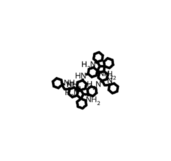 NC1(CC2(N)CCC(C3(C(C4(N)CCCCC4)C4(N)CCC(NC5CCC(N)(C(C6(N)CCCCC6)C6(C7CCC(N)(CC8(N)CCCCC8)CC7)CCCCC6)CC5)CC4)CCCCC3)CC2)CCCCC1